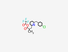 C=C(Cc1cccc(Cc2ccc(Cl)cc2)n1)C(=O)OC(=O)C(F)(F)F